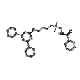 CC(C)(CCCCOc1cc(-c2ccccc2)cc(-c2ccccc2)n1)CNC(=O)c1cccnc1